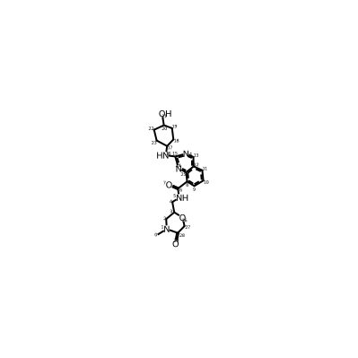 CN1CC(CNC(=O)c2cccc3cnc(NC4CCC(O)CC4)nc23)OCC1=O